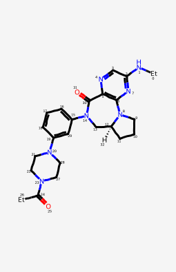 CCNc1cnc2c(n1)N1CCC[C@H]1CN(c1cccc(N3CCN(C(=O)CC)CC3)c1)C2=O